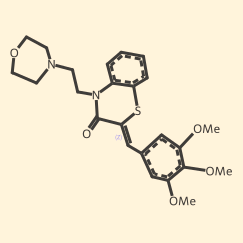 COc1cc(/C=C2\Sc3ccccc3N(CCN3CCOCC3)C2=O)cc(OC)c1OC